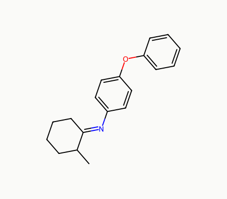 CC1CCCCC1=Nc1ccc(Oc2ccccc2)cc1